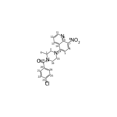 CC1CN(c2ccc([N+](=O)[O-])c3ncccc23)CCN1C(=O)c1ccc(Cl)cc1